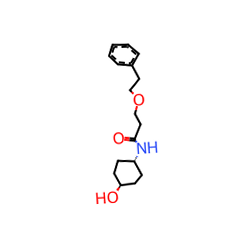 O=C(CCOCCc1ccccc1)N[C@H]1CC[C@H](O)CC1